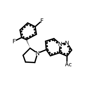 CC(=O)c1cnn2ccc(N3CCC[C@@H]3c3cc(F)ccc3F)cc12